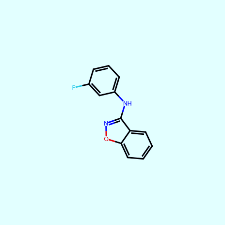 Fc1cccc(Nc2noc3ccccc23)c1